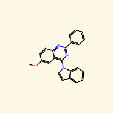 COc1ccc2nc(-c3ccccc3)nc(-n3ccc4ccccc43)c2c1